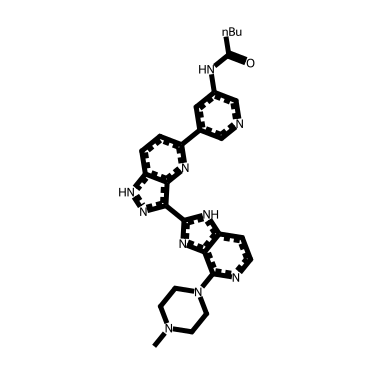 CCCCC(=O)Nc1cncc(-c2ccc3[nH]nc(-c4nc5c(N6CCN(C)CC6)nccc5[nH]4)c3n2)c1